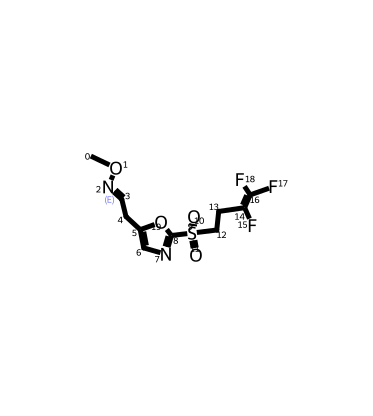 CO/N=C/Cc1cnc(S(=O)(=O)CCC(F)=C(F)F)o1